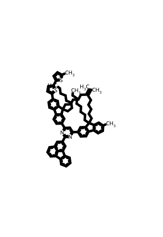 CCCCCCCCC1(CCCCCCCC)c2cc(C)ccc2-c2ccc(-c3cc(-c4ccc5c(c4)C(CCCCCCCC)(CCCCCCCC)c4cc(-c6ccc(-c7ccc(C)s7)s6)ccc4-5)nc(-c4cc5c6c(cccc6c4)-c4ccccc4-5)n3)cc21